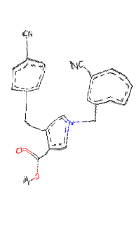 CC(C)OC(=O)c1cn(Cc2cccc(C#N)c2)cc1Cc1ccc(C#N)cc1